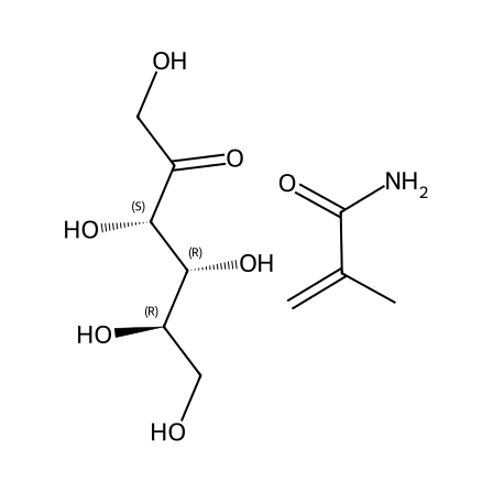 C=C(C)C(N)=O.O=C(CO)[C@@H](O)[C@H](O)[C@H](O)CO